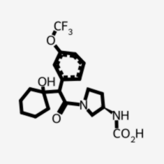 O=C(O)N[C@@H]1CCN(C(=O)C(c2cccc(OC(F)(F)F)c2)C2(O)CCCCC2)C1